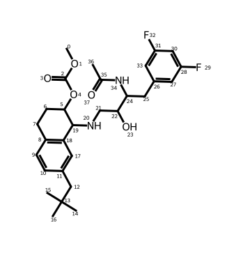 COC(=O)OC1CCc2ccc(CC(C)(C)C)cc2C1NCC(O)C(Cc1cc(F)cc(F)c1)NC(C)=O